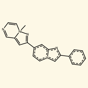 C[N+]12C=CN=CC1=CC(c1ccn3cc(-c4ccccc4)nc3c1)=N2